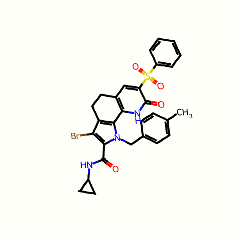 Cc1ccc(Cn2c(C(=O)NC3CC3)c(Br)c3c2-c2[nH]c(=O)c(S(=O)(=O)c4ccccc4)cc2CC3)cc1